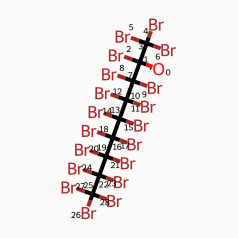 [O]C(Br)(C(Br)(Br)Br)C(Br)(Br)C(Br)(Br)C(Br)(Br)C(Br)(Br)C(Br)(Br)C(Br)(Br)C(Br)(Br)Br